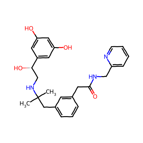 CC(C)(Cc1cccc(CC(=O)NCc2ccccn2)c1)NC[C@H](O)c1cc(O)cc(O)c1